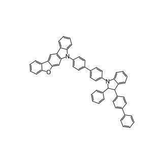 c1ccc(-c2ccc(C3c4ccccc4N(c4ccc(-c5ccc(-n6c7ccccc7c7cc8c(cc76)oc6ccccc68)cc5)cc4)C3c3ccccc3)cc2)cc1